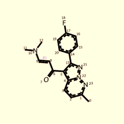 Cc1ccc2c(C(=O)/C=C/N(C)C)c(-c3ccc(F)cc3)nn2n1